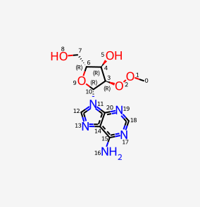 COO[C@@H]1[C@H](O)[C@@H](CO)O[C@H]1n1cnc2c(N)ncnc21